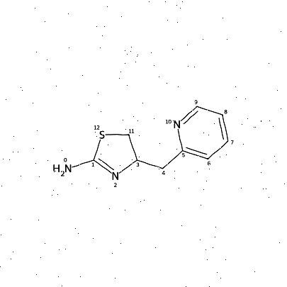 NC1=NC(Cc2ccccn2)CS1